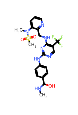 CNC(O)c1ccc(Nc2ncc(C(F)(F)F)c(NCc3ncccc3N(C)S(C)(=O)=O)n2)cc1